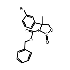 CC1(c2cccc(Br)c2)COS(=O)N1C(=O)OCc1ccccc1